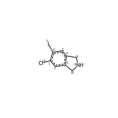 Clc1cc2c(cc1I)CNC2